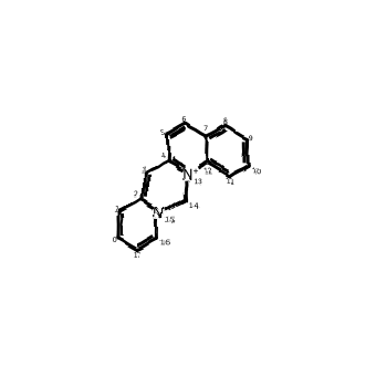 C1=CC2=Cc3ccc4ccccc4[n+]3CN2C=C1